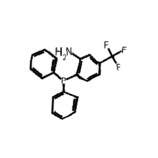 Nc1cc(C(F)(F)F)ccc1P(c1ccccc1)c1ccccc1